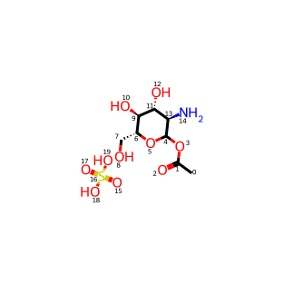 CC(=O)OC1O[C@H](CO)[C@@H](O)[C@H](O)[C@H]1N.O=S(=O)(O)O